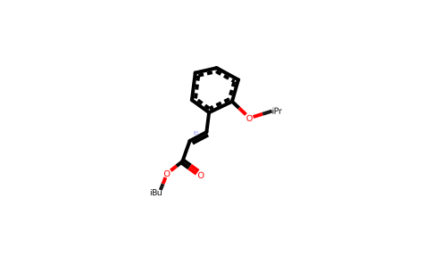 CCC(C)OC(=O)/C=C/c1ccccc1OC(C)C